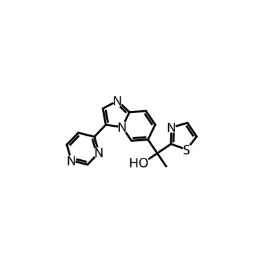 CC(O)(c1ccc2ncc(-c3ccncn3)n2c1)c1nccs1